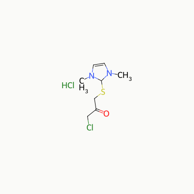 CN1C=CN(C)C1SCC(=O)CCl.Cl